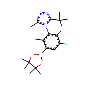 Cc1c(B2OC(C)(C)C(C)(C)O2)cc(F)c2c1-n1c(C)nnc1C(C)(C)N2